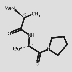 CN[C@@H](C)C(=O)N[C@H](C(=O)N1CCCC1)C(C)(C)C